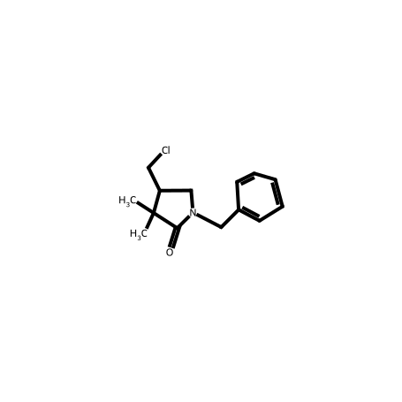 CC1(C)C(=O)N(Cc2ccccc2)CC1CCl